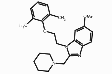 COc1ccc2nc(CN3CCCCC3)n(CCOc3c(C)cccc3C)c2c1